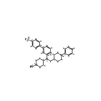 CC(C)N1CCC(N(CC2CCN(c3ccncc3)CC2)c2nccc(-c3ccc(C(F)(F)F)cc3)n2)CC1